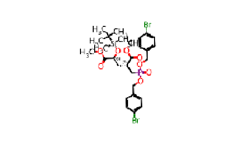 COC(=O)[C@@H](C[C@H](O[Si](C)(C)C(C)(C)C)C(=O)OC)CP(=O)(OCc1ccc(Br)cc1)OCc1ccc(Br)cc1